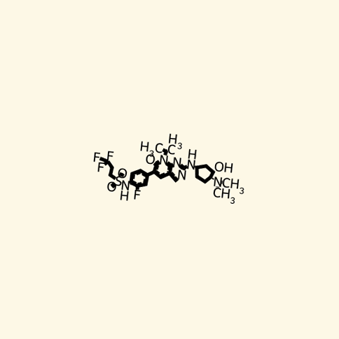 CC(C)n1c(=O)c(-c2ccc(NS(=O)(=O)CCC(F)(F)F)c(F)c2)cc2cnc(N[C@@H]3CC[C@@H](N(C)C)[C@H](O)C3)nc21